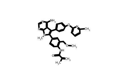 C=C(C)C(=O)Nc1ccc(-c2c(-c3ccc(Oc4cccc(C)n4)cc3)c3c(N)ncnc3n2C)cc1COC